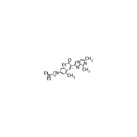 CCC(=O)/C(=C\c1ccc(N2CC(N(CC)CC)C2)cc1C)c1cn2cc(C)nc(C)c2n1